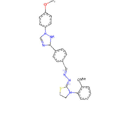 COc1ccccc1N1CCS/C1=N\N=C\c1ccc(C2N=CN(c3ccc(OC(F)(F)F)cc3)N2)cc1